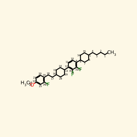 CCCCCC1CCC(c2ccc(C3CCC(CCc4ccc(OC)cc4F)CC3)c(F)c2F)CC1